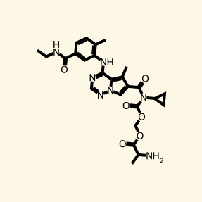 CCNC(=O)c1ccc(C)c(Nc2ncnn3cc(C(=O)N(C(=O)OCOC(=O)C(C)N)C4CC4)c(C)c23)c1